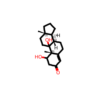 C[C@@]12CCC[C@H]1[C@@H]1CCC3=CC(=O)CC(O)[C@]3(C)C1(O)CC2